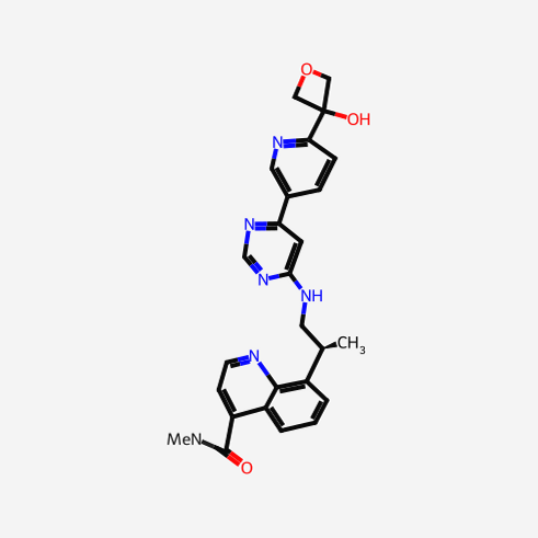 CNC(=O)c1ccnc2c([C@H](C)CNc3cc(-c4ccc(C5(O)COC5)nc4)ncn3)cccc12